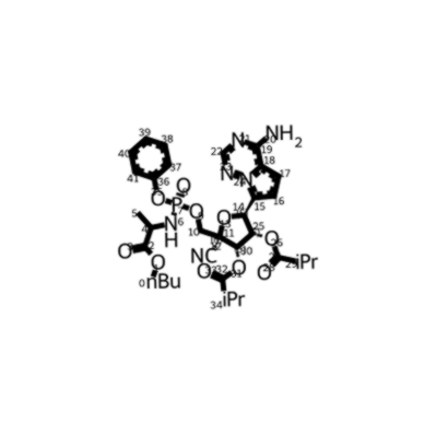 CCCCOC(=O)C(C)NP(=O)(OC[C@@]1(C#N)O[C@@H](c2ccc3c(N)ncnn23)[C@H](OC(=O)C(C)C)[C@@H]1OC(=O)C(C)C)Oc1ccccc1